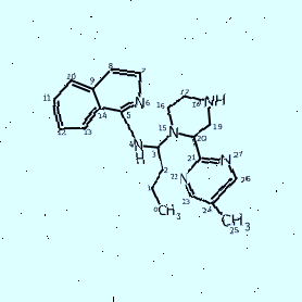 CCCC(Nc1nccc2ccccc12)N1CCNCC1c1ncc(C)cn1